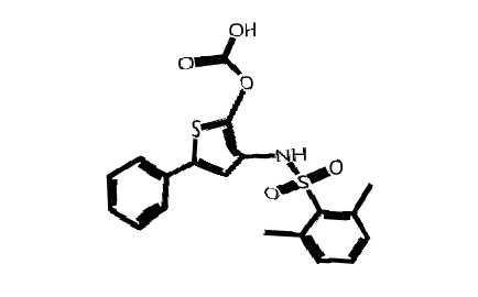 Cc1cccc(C)c1S(=O)(=O)Nc1cc(-c2ccccc2)sc1OC(=O)O